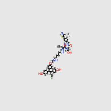 Cc1ncsc1-c1ccc(CNC(=O)[C@@H]2C[C@@H](O)CN2C(=O)[C@@H](NCCCCCCCNCCOc2ccc(C(=C(CCCl)c3ccc(O)cc3)c3ccc(O)cc3)cc2)C(C)(C)C)cc1